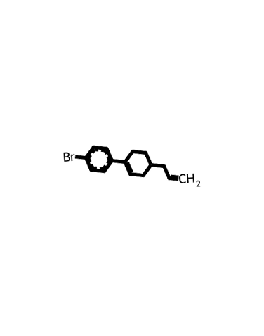 C=CCC1CC=C(c2ccc(Br)cc2)CC1